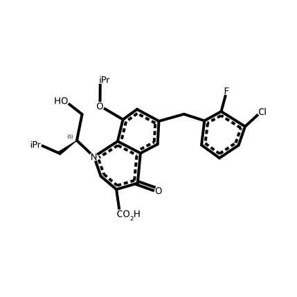 CC(C)C[C@@H](CO)n1cc(C(=O)O)c(=O)c2cc(Cc3cccc(Cl)c3F)cc(OC(C)C)c21